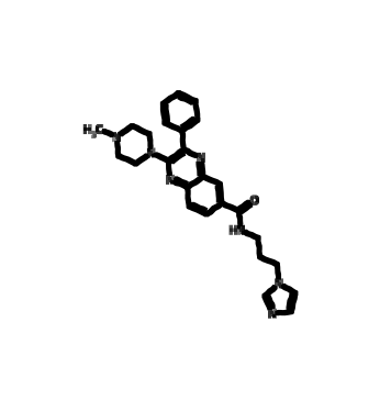 CN1CCN(c2nc3ccc(C(=O)NCCCn4ccnc4)cc3nc2-c2ccccc2)CC1